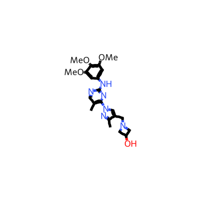 COc1cc(Nc2ncc(C)c(-n3cc(CN4CC(O)C4)c(C)n3)n2)cc(OC)c1OC